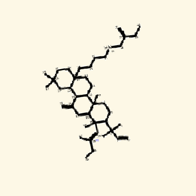 C=CC(C)(C)C1CCC2(C)C3CCC4(CCCCNCC(=C)CC)CCC(C)(C)CC4C3C(=C)CC2C1(C)/C=C(\C)CC